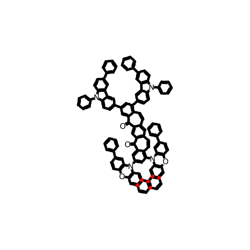 O=c1c2cc3c(=O)c4cc(N5c6cc(-c7ccccc7)ccc6Oc6ccc(-c7ccccc7)cc65)cc(N5c6cc(-c7ccccc7)ccc6Oc6ccc(-c7ccccc7)cc65)c4ccc3cc2ccc2c(-c3ccc4c(c3)c3cc(-c5ccccc5)ccc3n4-c3ccccc3)cc(-c3ccc4c(c3)c3cc(-c5ccccc5)ccc3n4-c3ccccc3)cc12